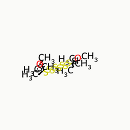 CCO[Si](C)(C)C(CC)SSSSSSSSC(CC)[Si](C)(C)OCC